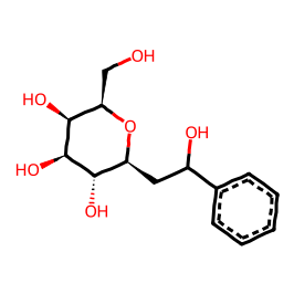 OC[C@H]1O[C@@H](CC(O)c2ccccc2)[C@H](O)[C@@H](O)[C@H]1O